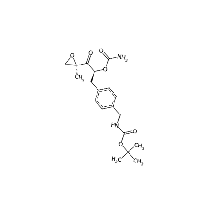 CC(C)(C)OC(=O)NCc1ccc(C[C@H](OC(N)=O)C(=O)[C@@]2(C)CO2)cc1